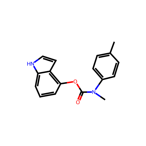 Cc1ccc(N(C)C(=O)Oc2cccc3[nH]ccc23)cc1